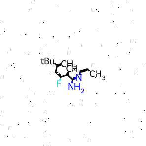 C=C(/C(F)=C\C(=C)C(C)(C)C)/C(N)=N\C=C/C